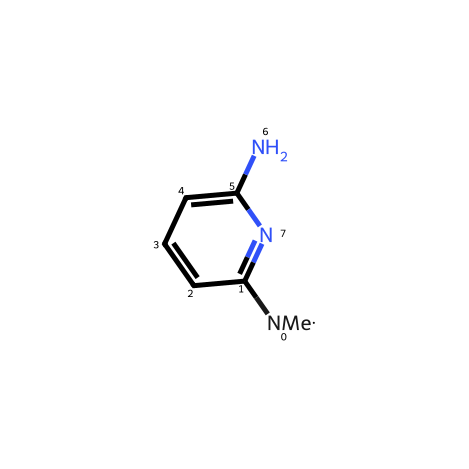 C[N]c1cccc(N)n1